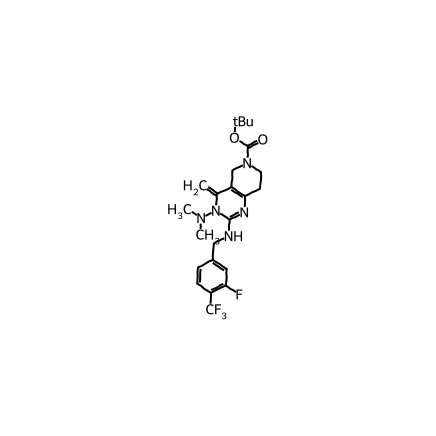 C=C1C2=C(CCN(C(=O)OC(C)(C)C)C2)N=C(NCc2ccc(C(F)(F)F)c(F)c2)N1N(C)C